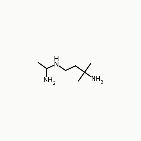 CC(N)NCCC(C)(C)N